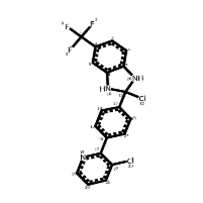 FC(F)(F)c1ccc2c(c1)NC(Cl)(c1ccc(-c3ncccc3Cl)cc1)N2